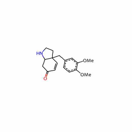 COc1ccc(CC23C=CC(=O)CC2NCC3)cc1OC